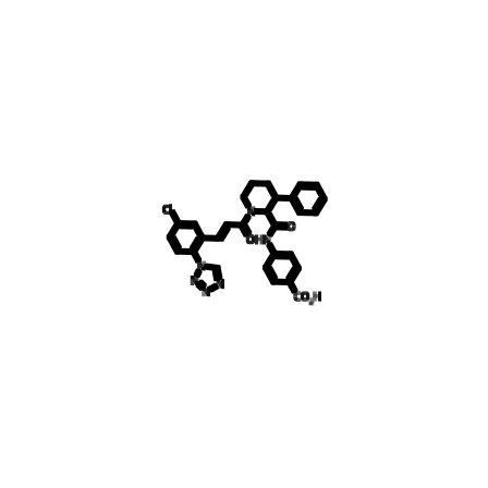 O=C(O)c1ccc(NC(=O)C2C(c3ccccc3)CCCN2C(=O)C=Cc2cc(Cl)ccc2-n2cnnn2)cc1